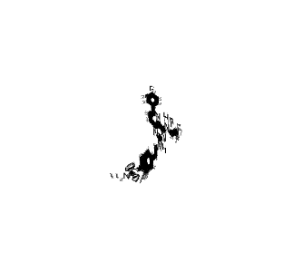 NS(=O)(=O)c1ccc(CCNc2nc(NCC(F)(F)F)c3nc(-c4ccc(F)cc4)ccc3n2)cc1F